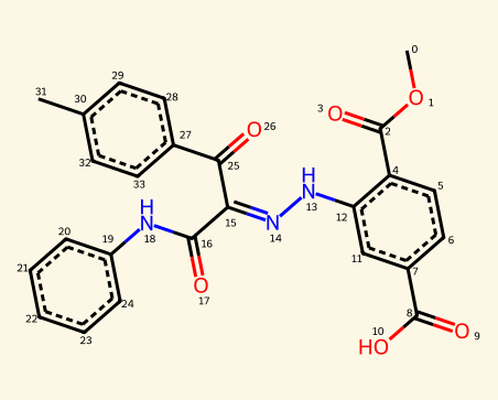 COC(=O)c1ccc(C(=O)O)cc1N/N=C(/C(=O)Nc1ccccc1)C(=O)c1ccc(C)cc1